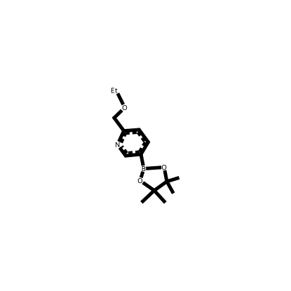 CCOCc1ccc(B2OC(C)(C)C(C)(C)O2)cn1